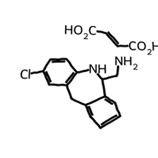 NCC1Nc2ccc(Cl)cc2Cc2ccccc21.O=C(O)C=CC(=O)O